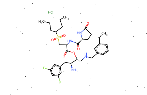 CCCC(CCC)S(=O)(=O)CC(NC(=O)[C@@H]1CCC(=O)N1)C(=O)O[C@H](CNCc1cccc(CC)c1)[C@@H](N)Cc1cc(F)cc(F)c1.Cl